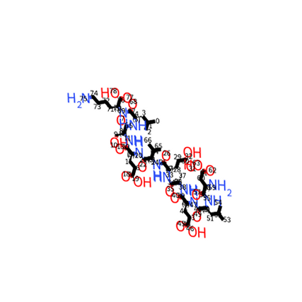 CC(C)C[C@H](NC(=O)[C@H](CO)NC(=O)[C@H](CCC(=O)O)NC(=O)[C@@H](NC(=O)[C@H](CCC(=O)O)NC(=O)[C@H](C)NC(=O)[C@H](CCC(=O)O)NC(=O)[C@H](CC(C)C)NC(=O)[C@@H](N)CC(=O)O)C(C)C)C(=O)N[C@@H](CCCCN)C(=O)O